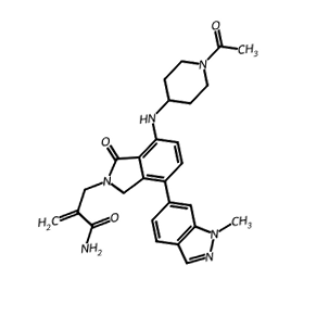 C=C(CN1Cc2c(-c3ccc4cnn(C)c4c3)ccc(NC3CCN(C(C)=O)CC3)c2C1=O)C(N)=O